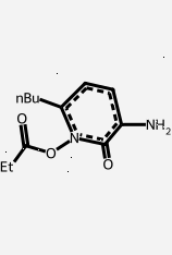 CCCCc1ccc(N)c(=O)n1OC(=O)CC